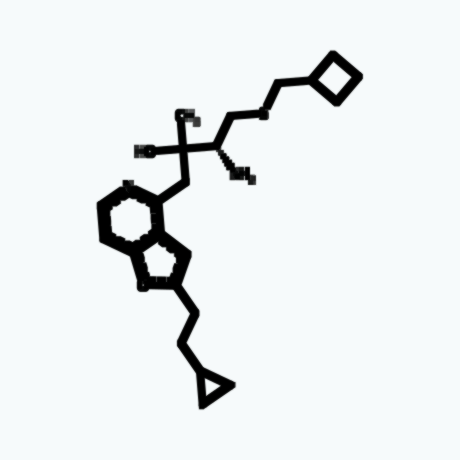 CC(O)(Cc1nccc2oc(CCC3CC3)cc12)[C@@H](N)CSCC1CCC1